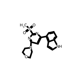 CS(=O)(=O)c1nc(-c2cccc3[nH]ccc23)cc(N2CCOCC2)n1